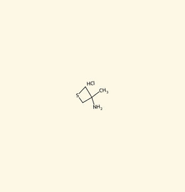 CC1(N)CSC1.Cl